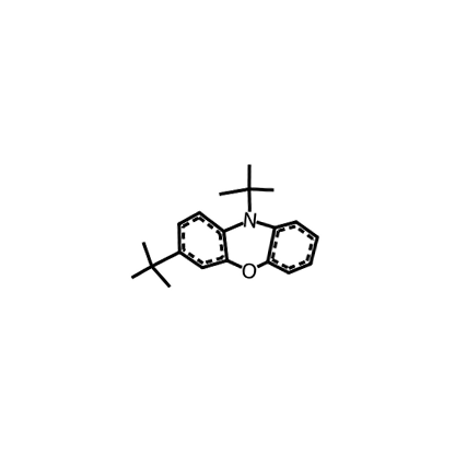 CC(C)(C)c1ccc2c(c1)Oc1ccccc1N2C(C)(C)C